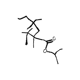 CCC(C)(C)CC(C)(C(=O)OC(C)C)C(C)(C)C